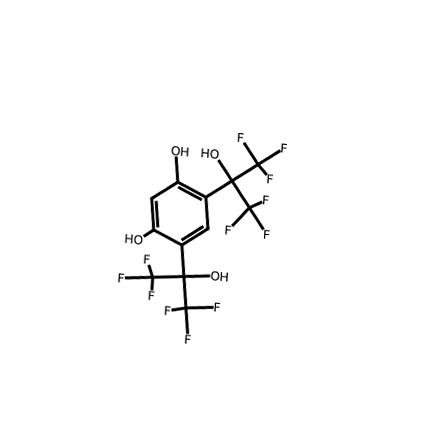 Oc1cc(O)c(C(O)(C(F)(F)F)C(F)(F)F)cc1C(O)(C(F)(F)F)C(F)(F)F